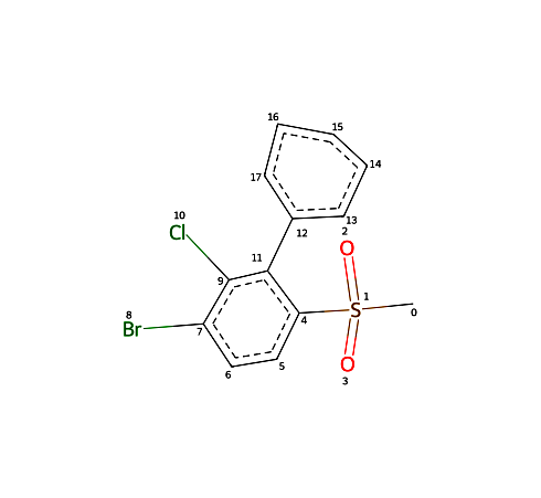 CS(=O)(=O)c1ccc(Br)c(Cl)c1-c1ccccc1